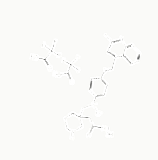 Cc1cc(COc2ccc([S+]([O-])CC3(CC(=O)NO)CCCNC3)cc2)c2ccccc2n1.O=C(O)C(F)(F)F.O=C(O)C(F)(F)F